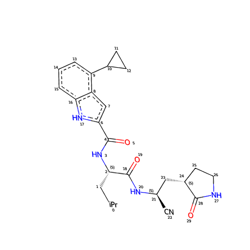 CC(C)C[C@H](NC(=O)c1cc2c(C3CC3)cccc2[nH]1)C(=O)N[C@H](C#N)C[C@@H]1CCNC1=O